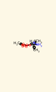 Cc1ccc(-c2c(CN)c(CC(C)C)nc3ccc(OCCOC(=O)COS(=O)(=O)c4ccc(C)cc4)cc23)cc1